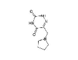 O=c1[nH]nc(CN2CCCC2)c(=O)[nH]1